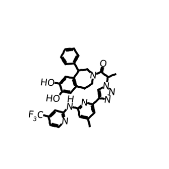 Cc1cc(Nc2cc(C(F)(F)F)ccn2)nc(-c2cn(C(C)C(=O)N3CCc4cc(O)c(O)cc4C(c4ccccc4)C3)nn2)c1